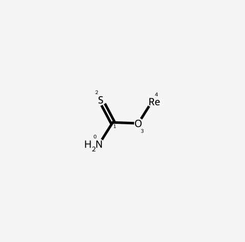 NC(=S)[O][Re]